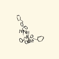 COC(=O)[C@H](CNCC(=O)OCc1ccccc1)NC(=O)OCc1ccccc1